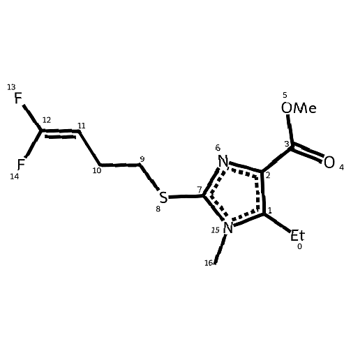 CCc1c(C(=O)OC)nc(SCCC=C(F)F)n1C